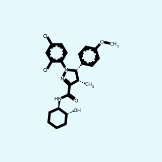 COc1ccc([C@@H]2[C@H](C)C(C(=O)N[C@@H]3CCCC[C@H]3O)=NN2c2ccc(Cl)cc2Cl)cc1